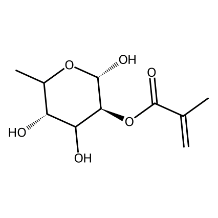 C=C(C)C(=O)O[C@H]1C(O)[C@H](O)C(C)O[C@@H]1O